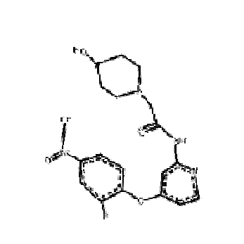 O=C(CN1CCC(O)CC1)Nc1cc(Oc2ccc([N+](=O)[O-])cc2F)ccn1